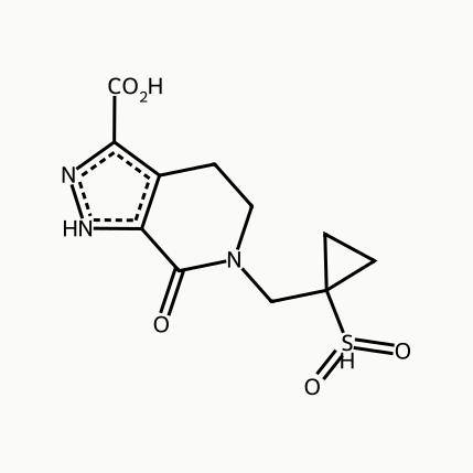 O=C(O)c1n[nH]c2c1CCN(CC1([SH](=O)=O)CC1)C2=O